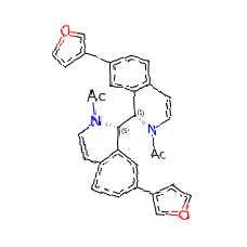 CC(=O)N1C=Cc2ccc(-c3ccoc3)cc2[C@H]1[C@@H]1c2cc(-c3ccoc3)ccc2C=CN1C(C)=O